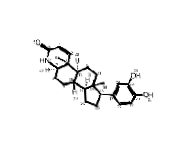 C[C@]12C=CC(=O)N[C@@H]1CC[C@@H]1[C@@H]2CC[C@]2(C)[C@@H](c3ccc(O)c(O)c3)CC[C@@H]12